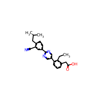 CCc1c(CC(=O)O)cccc1-c1cnc(-c2ccc(CC(C)C)c(C#N)c2)nc1